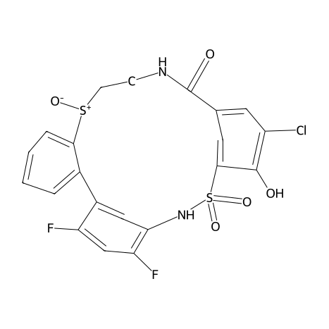 O=C1NCC[S+]([O-])c2ccccc2-c2cc(c(F)cc2F)NS(=O)(=O)c2cc1cc(Cl)c2O